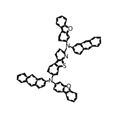 c1ccc2cc3cc(N(c4ccc5c(c4)oc4ccccc45)c4ccc5c(c4)sc4nc(N(c6ccc7cc8ccccc8cc7c6)c6ccc7c(c6)oc6ccccc67)ccc45)ccc3cc2c1